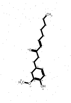 CCCCC/C=C/C(=O)CCC1C=CC(O)=C(OC)C1